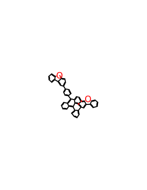 c1ccc(-c2c3ccccc3c(-c3ccc(-c4ccc5oc6ccccc6c5c4)cc3)c3ccccc23)c(-c2ccc3oc4ccccc4c3c2)c1